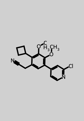 COc1c(-c2ccnc(Cl)c2)cc(CC#N)c(C2CCC2)c1OC